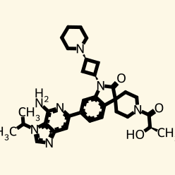 CC(C)n1cnc2cc(-c3ccc4c(c3)N([C@H]3C[C@@H](N5CCCCC5)C3)C(=O)C43CCN(C(=O)[C@@H](C)O)CC3)nc(N)c21